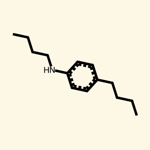 CCCCNc1ccc(CCCC)cc1